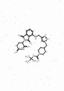 CC(C)(C)OC(=O)N1CCC(Cn2cc(CNc3cccc4c3C(=O)N(C3CCC(=O)NC3=O)C4=O)nn2)CC1